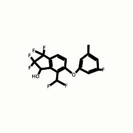 Cc1cc(F)cc(Oc2ccc3c(c2C(F)F)C(O)C(F)(F)C3(F)F)c1